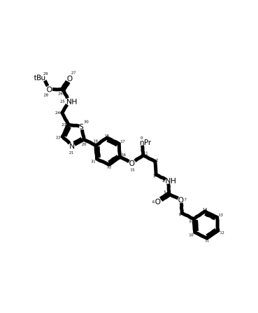 CCCC(CCNC(=O)OCc1ccccc1)Oc1ccc(-c2ncc(CNC(=O)OC(C)(C)C)s2)cc1